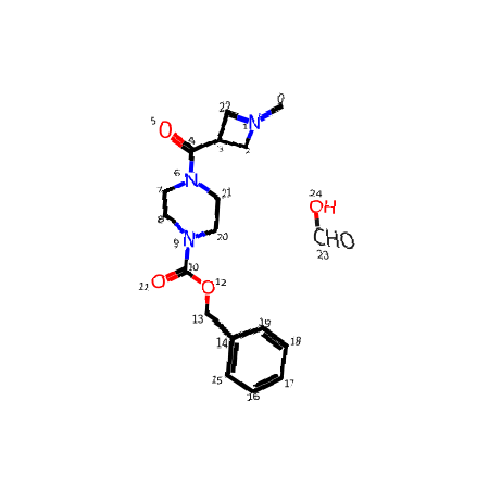 CN1CC(C(=O)N2CCN(C(=O)OCc3ccccc3)CC2)C1.O=CO